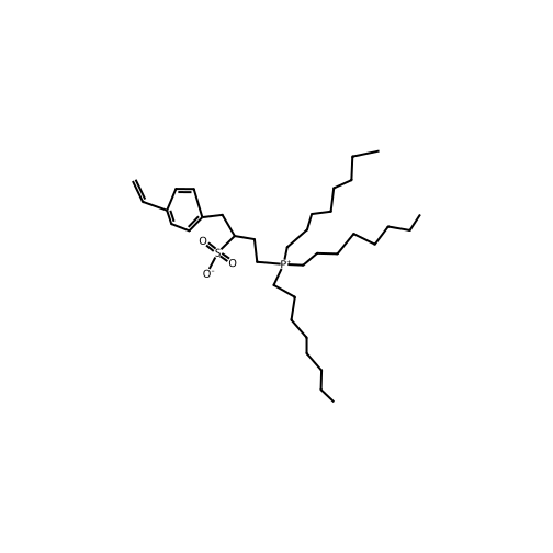 C=Cc1ccc(CC(CC[P+](CCCCCCCC)(CCCCCCCC)CCCCCCCC)S(=O)(=O)[O-])cc1